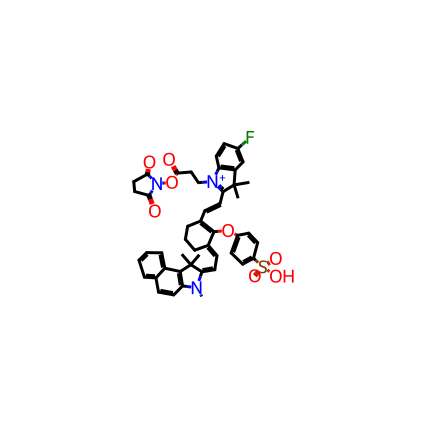 CN1/C(=C/C=C2\CCCC(/C=C/C3=[N+](CCC(=O)ON4C(=O)CCC4=O)c4ccc(F)cc4C3(C)C)=C2Oc2ccc(S(=O)(=O)O)cc2)C(C)(C)c2c1ccc1ccccc21